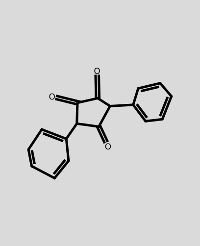 O=C1C(=O)C(c2ccccc2)C(=O)C1c1ccccc1